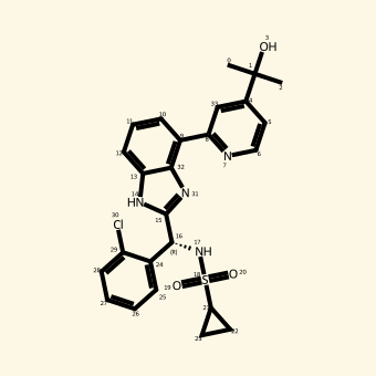 CC(C)(O)c1ccnc(-c2cccc3[nH]c([C@H](NS(=O)(=O)C4CC4)c4ccccc4Cl)nc23)c1